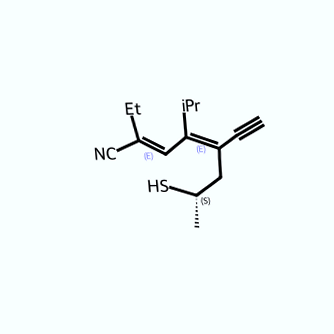 C#C/C(C[C@H](C)S)=C(/C=C(/C#N)CC)C(C)C